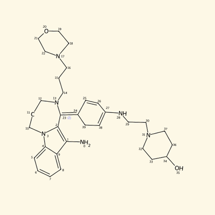 Nc1c2n(c3ccccc13)CCCN(CCCN1CCOCC1)/C2=C1\C=CC(NCCN2CCC(O)CC2)=CC1